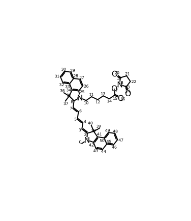 CN1/C(=C/C=C/C=C/C2N(CCCCCC(=O)ON3C(=O)CCC3=O)c3ccc4ccccc4c3C2(C)C)C(C)(C)c2c1ccc1ccccc21